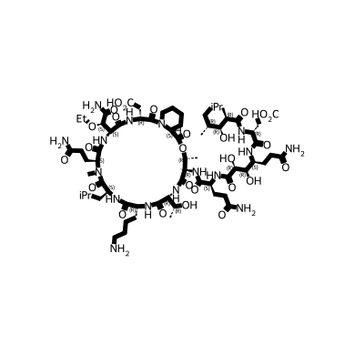 CCO[C@H](C(N)=O)[C@@H]1NC(=O)[C@H](CCC(N)=O)N(C)C(=O)[C@H](CC(C)C)NC(=O)[C@@H](CCCCN)NC(=O)[C@@H]([C@@H](C)O)NC(=O)[C@H](NC(=O)[C@H](CCC(N)=O)NC(=O)[C@H](O)[C@H](O)[C@H](CCC(N)=O)NC(=O)[C@@H](CC(=O)O)NC(=O)[C@H](C)[C@H](O)[C@H](C)CC(C)C)[C@@H](C)OC(=O)[C@@H]2CCCCN2C(=O)[C@@H](CC(=O)O)NC1=O